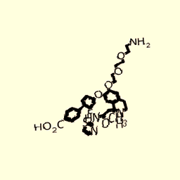 CC1(CC(=O)Nc2nccs2)NCCc2cc(OCCOCCOCCN)c(Oc3ccc(-c4ccc(C(=O)O)cc4)c(F)c3)cc21